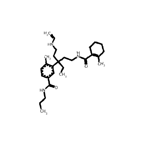 C=CNCCC(CC)(CCNC(=O)C1=C(C)CCCC1)c1cc(C(=O)NCCC)ccc1C